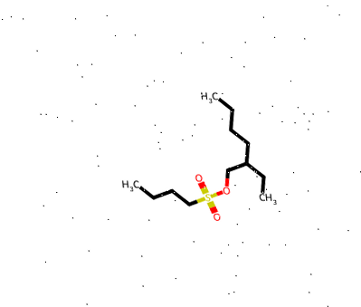 CCCCC(CC)COS(=O)(=O)CCCC